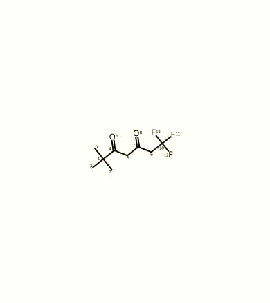 CC(C)(C)C(=O)CC(=O)CC(F)(F)F